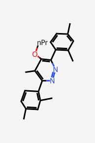 CCCOc1c(-c2ccc(C)cc2C)nnc(-c2ccc(C)cc2C)c1C